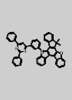 CC1(C)c2ccccc2-c2c1c1oc3ccccc3c1c1c3ccccc3n(-c3cccc(-c4cc(-c5ccccc5)nc(-c5ccccc5)n4)c3)c21